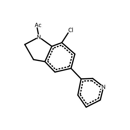 CC(=O)N1CCc2cc(-c3cccnc3)cc(Cl)c21